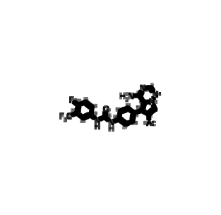 CC(=O)c1cn2ncnc(N)c2c1-c1ccc(NC(=O)Nc2ccc(F)c(C(F)(F)F)c2)cc1